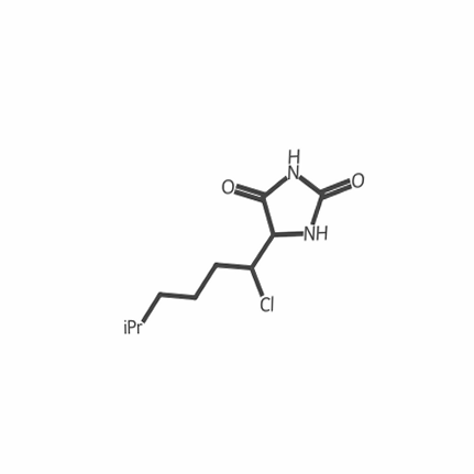 CC(C)CCCC(Cl)C1NC(=O)NC1=O